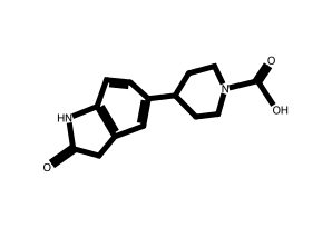 O=C1Cc2cc(C3CCN(C(=O)O)CC3)ccc2N1